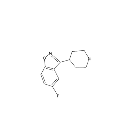 Fc1ccc2onc(C3CC[N]CC3)c2c1